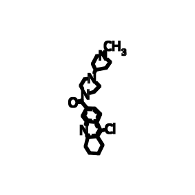 CN1CCC(N2CCN(C(=O)c3ccc4c(Cl)c5c(nc4c3)CCCC5)CC2)CC1